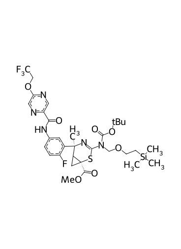 COC(=O)[C@]12CC1[C@@](C)(c1cc(NC(=O)c3cnc(OCC(F)(F)F)cn3)ccc1F)N=C(N(COCC[Si](C)(C)C)C(=O)OC(C)(C)C)S2